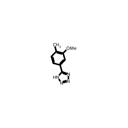 COc1cc(-c2nnn[nH]2)ccc1C